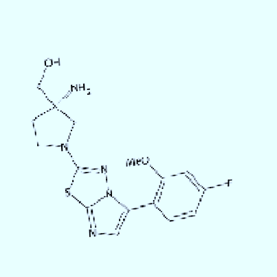 COc1cc(F)ccc1-c1cnc2sc(N3CC[C@@](N)(CO)C3)nn12